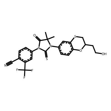 CC1(C)C(=O)N(c2ccc(C#N)c(C(F)(F)F)c2)C(=S)N1c1ccc2c(c1)SCC(CCO)O2